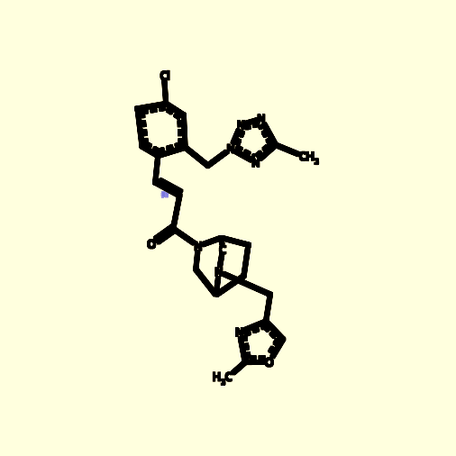 Cc1nnn(Cc2cc(Cl)ccc2/C=C/C(=O)N2CC3CCC2CN3Cc2coc(C)n2)n1